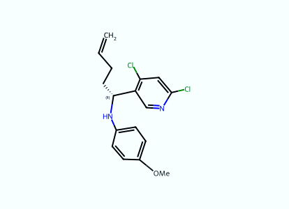 C=CCC[C@@H](Nc1ccc(OC)cc1)c1cnc(Cl)cc1Cl